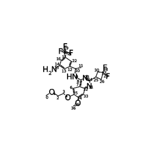 COCCOc1cc2c(NC(C)c3cc(N)cc(C(F)(F)F)c3)nc(C3CC(F)(F)C3)nc2cc1OC